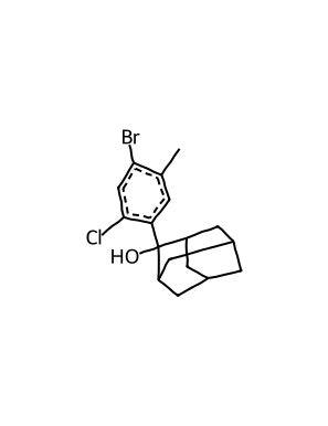 Cc1cc(C2(O)C3CC4CC(C3)CC2C4)c(Cl)cc1Br